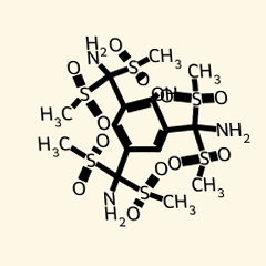 CS(=O)(=O)C(N)(c1cc(C(N)(S(C)(=O)=O)S(C)(=O)=O)c(O)c(C(N)(S(C)(=O)=O)S(C)(=O)=O)c1)S(C)(=O)=O